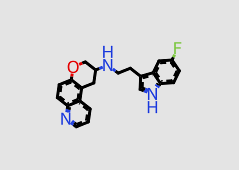 Fc1ccc2[nH]cc(CCNC3COc4ccc5ncccc5c4C3)c2c1